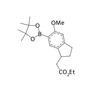 CCOC(=O)CC1CCc2cc(OC)c(B3OC(C)(C)C(C)(C)O3)cc21